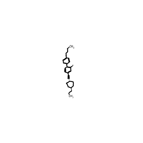 CCCCc1ccc(-c2ccc(C#C[C@H]3CC[C@H](CCC)CC3)cc2F)cc1